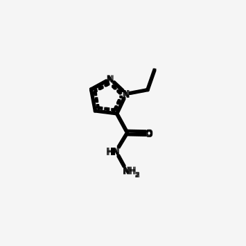 CCn1nccc1C(=O)NN